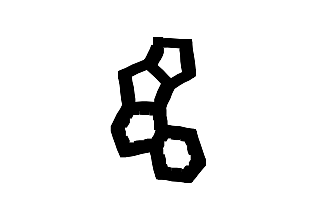 C1=CC2=c3c(ccc4ccccc34)=CC2=N1